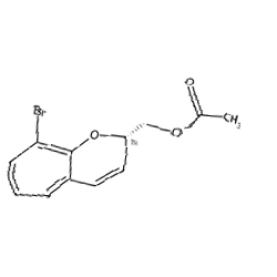 CC(=O)OC[C@@H]1C=Cc2cccc(Br)c2O1